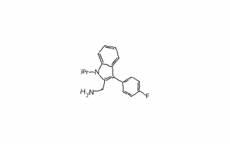 CC(C)n1c(CN)c(-c2ccc(F)cc2)c2ccccc21